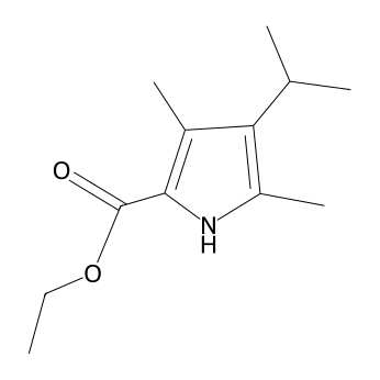 CCOC(=O)c1[nH]c(C)c(C(C)C)c1C